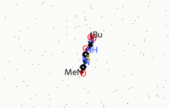 CNC(=O)c1ccc(-c2cn3c(n2)sc2cc(C(=O)NC4CC5(C4)CN(C(=O)OC(C)(C)C)C5)ccc23)cc1